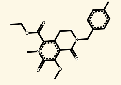 CCOC(=O)c1c2c(c(OC)c(=O)n1C)C(=O)N(Cc1ccc(F)cc1)CC2